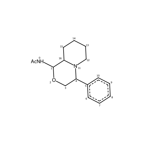 CC(=O)NC1OCC(c2ccccc2)N2CCCCC12